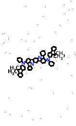 CC1(C)c2ccccc2-c2ccc(N(c3ccccc3)c3ccc4c5cc6c(cc5n5c7ccccc7c3c45)c3ccc(N(c4ccccc4)c4ccc5c(c4)C(C)(C)c4ccccc4-5)c4c5ccccc5n6c34)cc21